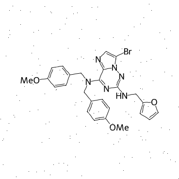 COc1ccc(CN(Cc2ccc(OC)cc2)c2nc(NCc3ccco3)nn3c(Br)cnc23)cc1